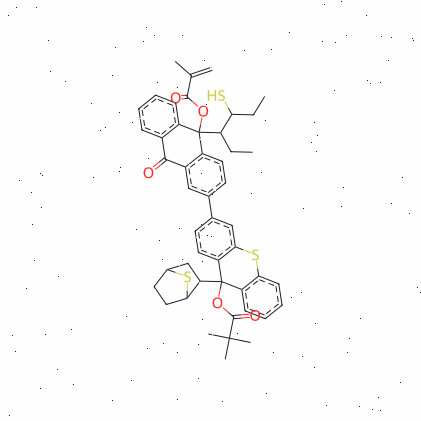 C=C(C)C(=O)OC1(C(CC)C(S)CC)c2ccccc2C(=O)c2cc(-c3ccc4c(c3)Sc3ccccc3C4(OC(=O)C(C)(C)C)C3CC4CCC3S4)ccc21